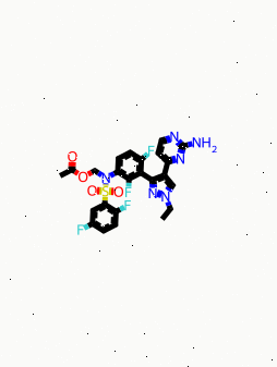 CCn1cc(-c2ccnc(N)n2)c(-c2c(F)ccc(N(COC(C)=O)S(=O)(=O)c3cc(F)ccc3F)c2F)n1